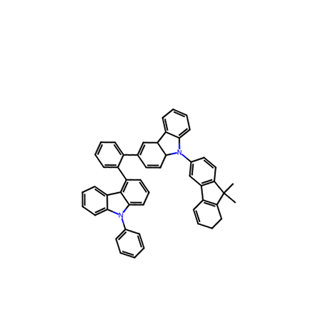 CC1(C)C2=C(C=CCC2)c2cc(N3c4ccccc4C4C=C(c5ccccc5-c5cccc6c5c5ccccc5n6-c5ccccc5)C=CC43)ccc21